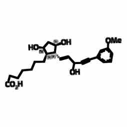 COc1cccc(C#CC(O)C=C[C@@H]2[C@@H](CCCCCCC(=O)O)[C@@H](O)C[C@H]2O)c1